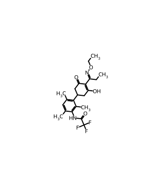 CCON=C(CC)C1=C(O)CC(c2c(C)cc(C)c(NC(=O)C(F)(F)F)c2C)CC1=O